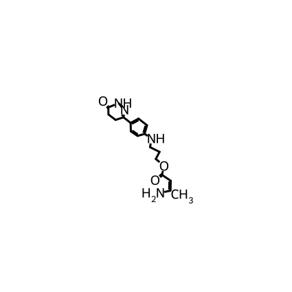 CC(N)=CC(=O)OCCCNc1ccc(C2=NNC(=O)CC2)cc1